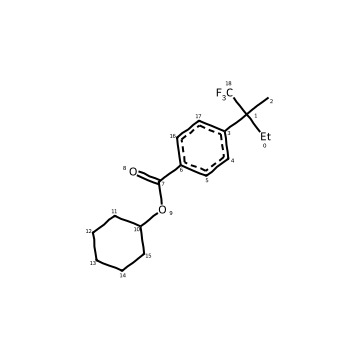 CCC(C)(c1ccc(C(=O)OC2CCCCC2)cc1)C(F)(F)F